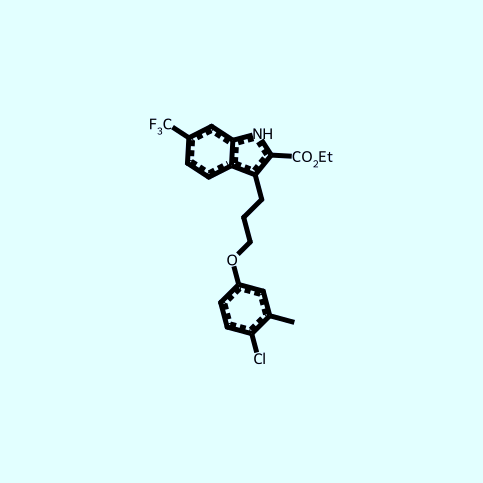 CCOC(=O)c1[nH]c2cc(C(F)(F)F)ccc2c1CCCOc1ccc(Cl)c(C)c1